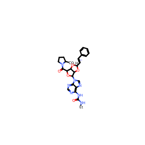 CCNC(=O)Nc1ncnc2c1ncn2C1OC(C(=O)N2CCCC2C(=O)O)C2OC(/C=C/c3ccccc3)OC21